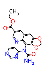 CCOC(=O)c1cnc2c(N(C(N)=O)c3ccncn3)c3c(cc2c1)OCO3